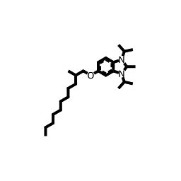 CCCCCCCCCC(C)COc1ccc2c(c1)N(C(C)C)C(C)N2C(C)C